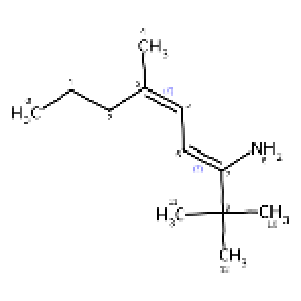 CCC/C(C)=C\C=C(/N)C(C)(C)C